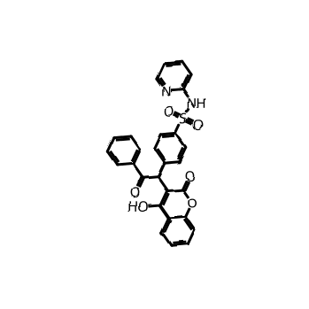 O=C(c1ccccc1)C(c1ccc(S(=O)(=O)Nc2ccccn2)cc1)c1c(O)c2ccccc2oc1=O